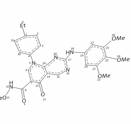 CCc1ccc(-n2cc(C(=O)NOC)c(=O)c3cnc(Nc4cc(OC)c(OC)c(OC)c4)nc32)cc1